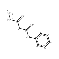 CNC(=O)CC(=O)Oc1ccccc1